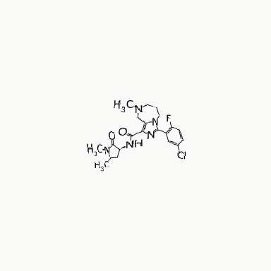 CC1C[C@H](NC(=O)c2nc(-c3cc(Cl)ccc3F)n3c2CN(C)CCC3)C(=O)N1C